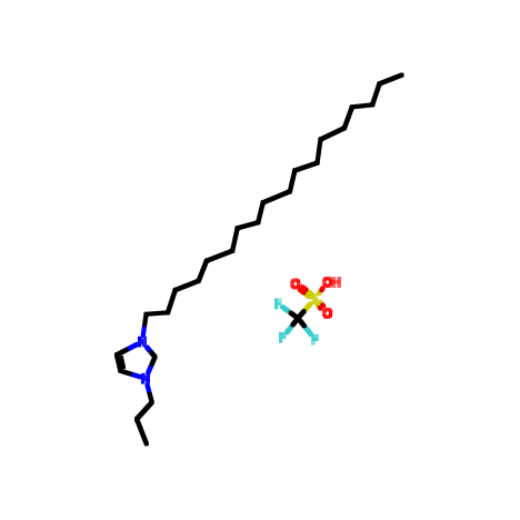 CCCCCCCCCCCCCCCCCCN1C=CN(CCC)C1.O=S(=O)(O)C(F)(F)F